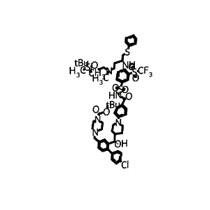 CN(CCO[Si](C)(C)C(C)(C)C)CCC(CSc1ccccc1)Nc1ccc(S(=O)(=O)NC(=O)c2ccc(N3CCC([C@H](O)c4cc(CN5CCN(C(=O)OC(C)(C)C)CC5)ccc4-c4ccc(Cl)cc4)CC3)cc2)cc1S(=O)(=O)C(F)(F)F